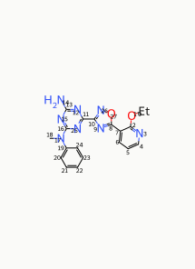 CCOc1ncccc1-c1nc(-c2nc(N)nc(N(C)c3ccccc3)n2)no1